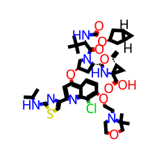 C=C[C@@H]1C[C@]1(NC(=O)[C@@H]1C[C@@H](Oc2cc(-c3csc(NC(C)C)n3)nc3c(Cl)c(OCCN4CCOCC4(C)C)ccc23)CN1C(=O)[C@@H](NC(=O)O[C@@H]1C[C@@H]2C[C@@H]2C1)C(C)(C)C)C(=O)O